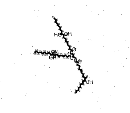 CCCCCCCCC(O)C(C)CCCCCCCC(=O)OCC(COC(=O)CCCCCCCC(O)C(O)CCCCCCCC)OC(=O)CCCCCCCC(O)C(O)CCCCCCCC